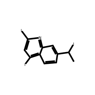 CC(I)c1ccc2c(I)cc(I)nc2c1